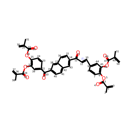 C=C(C)C(=O)Oc1ccc(/C=C/C(=O)c2ccc3cc(C(=O)c4ccc(OC(=O)C(=C)C)c(OC(=O)C(=C)C)c4)ccc3c2)cc1OC(=O)C(=C)C